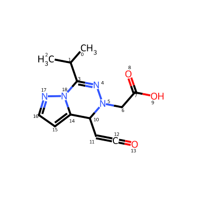 CC(C)C1=NN(CC(=O)O)C(C=C=O)c2ccnn21